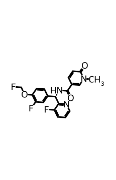 Cn1cc(C(=O)N[C@@H](c2ccc(OCF)c(F)c2)c2ncccc2F)ccc1=O